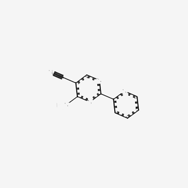 N#Cc1cnc(-c2ccccn2)nc1N